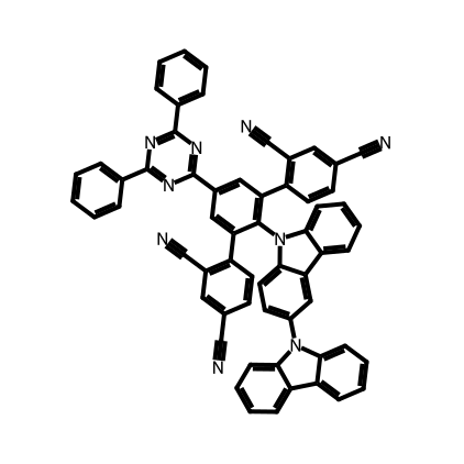 N#Cc1ccc(-c2cc(-c3nc(-c4ccccc4)nc(-c4ccccc4)n3)cc(-c3ccc(C#N)cc3C#N)c2-n2c3ccccc3c3cc(-n4c5ccccc5c5ccccc54)ccc32)c(C#N)c1